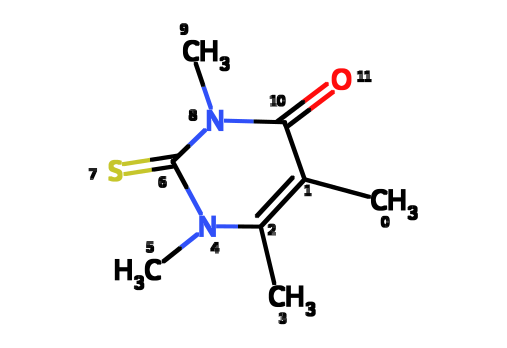 Cc1c(C)n(C)c(=S)n(C)c1=O